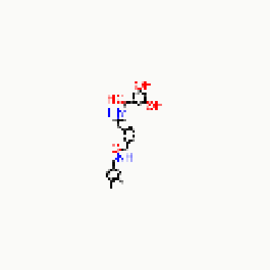 Cc1ccc(CNC(=O)Cc2cccc(CC(C)(C)NCC(O)c3cc(O)cc(O)c3)c2)cc1C